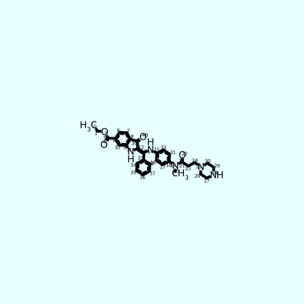 CCOC(=O)c1ccc2c(c1)NC(=C(Nc1ccc(N(C)C(=O)CCN3CCNCC3)cc1)c1ccccc1)C2=O